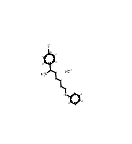 Cl.NC(CCCCCSc1ccccc1)c1ccc(F)cc1